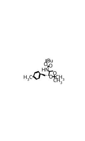 Cc1ccc(/C=C/[C@H]2OC(C)(C)OCC2NC(=O)OC(C)(C)C)cc1